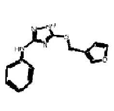 c1ccc(Nc2n[nH]c(SCc3ccoc3)n2)cc1